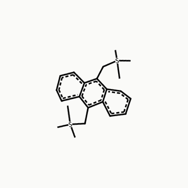 CS(C)(C)Cc1c2ccccc2c(CS(C)(C)C)c2ccccc12